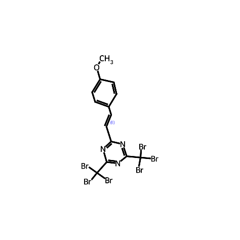 COc1ccc(/C=C/c2nc(C(Br)(Br)Br)nc(C(Br)(Br)Br)n2)cc1